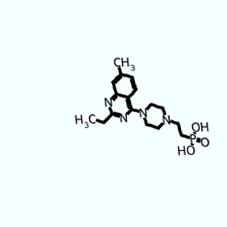 CCc1nc(N2CCN(CCP(=O)(O)O)CC2)c2ccc(C)cc2n1